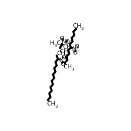 CCC(C)(C)[N+](=O)[O-].CCCCCCCC(CCCCCC)[N+](=O)[O-].CCCCCCCCCCCCCCC(CC)[N+](=O)[O-]